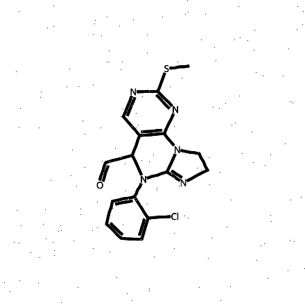 CSc1ncc2c(n1)N1CCN=C1N(c1ccccc1Cl)C2C=O